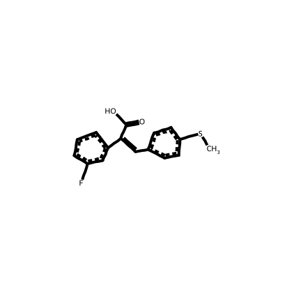 CSc1ccc(C=C(C(=O)O)c2cccc(F)c2)cc1